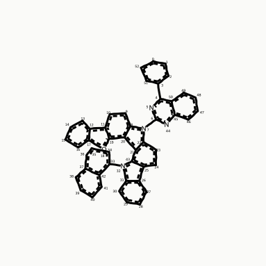 c1ccc(-c2nc(-n3c4ccc5c6ccccc6oc5c4c4c3ccc3c5ccccc5n(-c5cccc6ccccc56)c34)nc3ccccc23)cc1